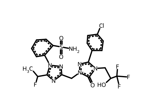 CC(F)c1nc(Cn2nc(-c3ccc(Cl)cc3)n(CC(O)C(F)(F)F)c2=O)nn1-c1ccccc1S(N)(=O)=O